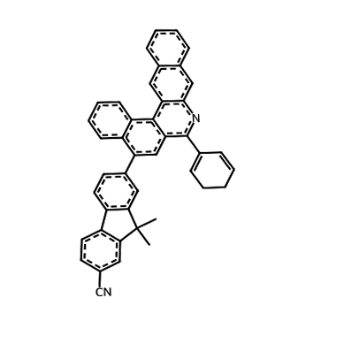 CC1(C)c2cc(C#N)ccc2-c2ccc(-c3cc4c(C5=CCCC=C5)nc5cc6ccccc6cc5c4c4ccccc34)cc21